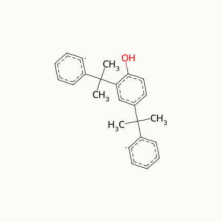 CC(C)(c1[c]cccc1)c1ccc(O)c(C(C)(C)c2[c]cccc2)c1